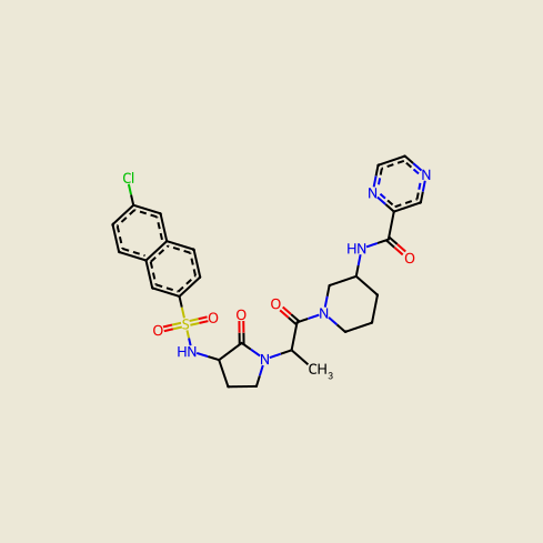 CC(C(=O)N1CCCC(NC(=O)c2cnccn2)C1)N1CCC(NS(=O)(=O)c2ccc3cc(Cl)ccc3c2)C1=O